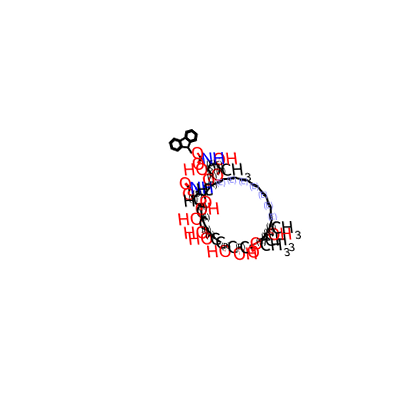 C[C@@H]1[C@H](O)[C@@H](C)/C=C/C=C/C=C/C=C/C=C/C=C/C=C/[C@H](O[C@@H]2O[C@H](C)[C@@H](O)[C@H](NC(=O)OCC3c4ccccc4-c4ccccc43)[C@@H]2O)CC2O[C@](O)(C[C@@H](O)C[C@@H](O)[C@H](O)CC[C@@H](O)C[C@@H](O)CC(=O)O[C@H]1C)C[C@@H]1OC(=O)N[C@@H]21